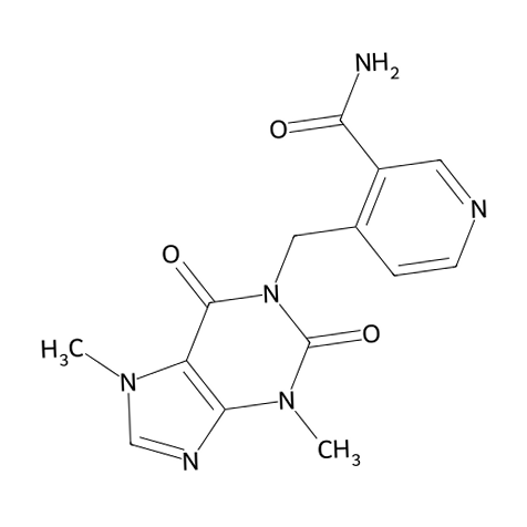 Cn1cnc2c1c(=O)n(Cc1ccncc1C(N)=O)c(=O)n2C